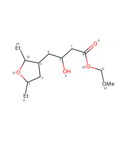 CCC1CC(CC(O)CC(=O)OCOC)C(CC)O1